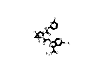 Cc1cc2c(C(N)=O)nn(CC(=O)N3[C@@H]4C[C@@H]4C[C@H]3C(=O)Nc3cccc(Br)n3)c2cn1